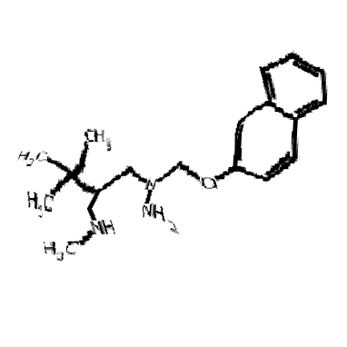 CNC(CN(N)COc1ccc2ccccc2c1)C(C)(C)C